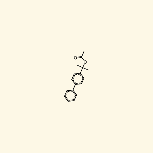 CC(=O)OC(C)(C)c1ccc(-c2ccccc2)cc1